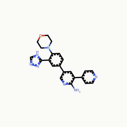 Nc1ncc(-c2ccc(N3CCOCC3)c(-c3nnc[nH]3)c2)cc1-c1ccncc1